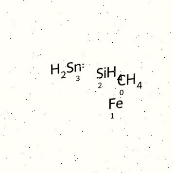 C.[Fe].[SiH4].[SnH2]